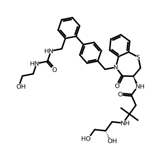 CC(C)(CC(=O)N[C@@H]1CSc2ccccc2N(Cc2ccc(-c3ccccc3CNC(=O)NCCO)cc2)C1=O)NC[C@H](O)CO